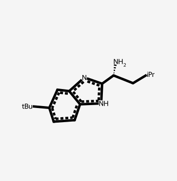 CC(C)C[C@@H](N)c1nc2cc(C(C)(C)C)ccc2[nH]1